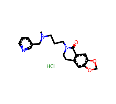 CN(CCCN1CCc2cc3c(cc2C1=O)OCO3)Cc1cccnc1.Cl